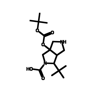 CC(C)(C)OC(=O)OC12CNCC1C(C(C)(C)C)N(C(=O)O)C2